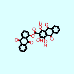 O=C1c2ccccc2C(=O)c2c(OC(=O)c3c(O)c(O)c4c(c3O)C(=O)c3ccccc3C4=O)cccc21